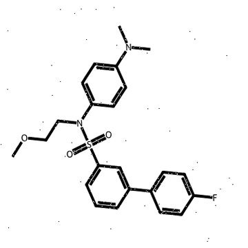 COCCN(c1ccc(N(C)C)cc1)S(=O)(=O)c1cccc(-c2ccc(F)cc2)c1